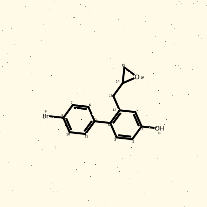 Oc1ccc(-c2ccc(Br)cc2)c(CC2CO2)c1